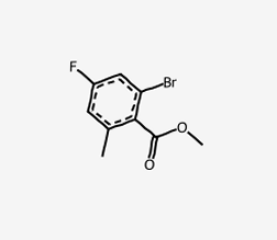 COC(=O)c1c(C)cc(F)cc1Br